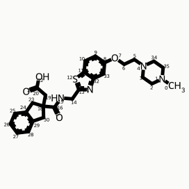 CN1CCN(CCOc2ccc3sc(CNC(=O)C4(CC(=O)O)Cc5ccccc5C4)nc3c2)CC1